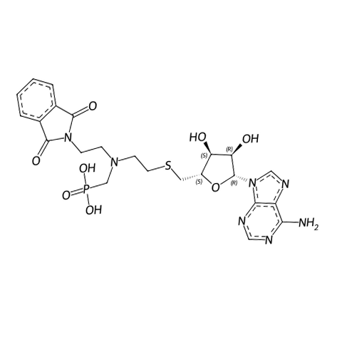 Nc1ncnc2c1ncn2[C@@H]1O[C@H](CSCCN(CCN2C(=O)c3ccccc3C2=O)CP(=O)(O)O)[C@@H](O)[C@H]1O